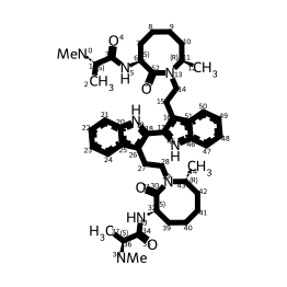 CN[C@@H](C)C(=O)N[C@H]1CCCC[C@@H](C)N(CCc2c(-c3[nH]c4ccccc4c3CCN3C(=O)[C@@H](NC(=O)[C@H](C)NC)CCCC[C@H]3C)[nH]c3ccccc23)C1=O